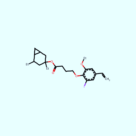 C=Cc1cc(I)c(OCCCC(=O)OC2(CC)CC(CC)C3CC3C2)c(OCC)c1